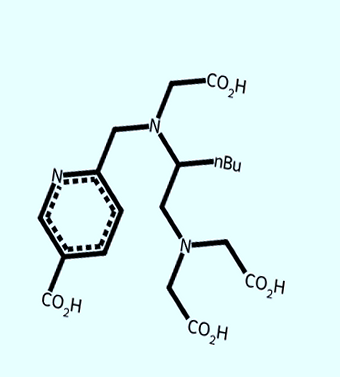 CCCCC(CN(CC(=O)O)CC(=O)O)N(CC(=O)O)Cc1ccc(C(=O)O)cn1